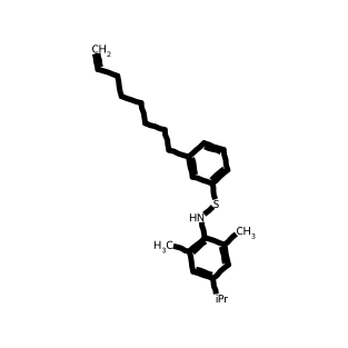 C=CCCCCCCc1cccc(SNc2c(C)cc(C(C)C)cc2C)c1